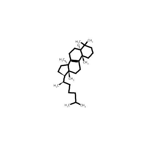 CC(C)CCC[C@@H](C)[C@H]1CC[C@@]2(C)C3=C(CC[C@]12C)[C@@]1(C)CCCC(C)(C)[C@@H]1CC3